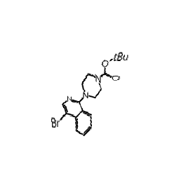 CC(C)(C)OC(=O)N1CCN(c2ncc(Br)c3ccccc23)CC1